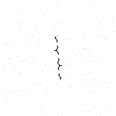 OC(CCSCC(O)CSCCS)CSCCS